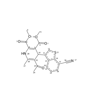 COC(=O)C1=C(C(=O)OC)C(c2csc3c(C#N)cccc23)C(C(C)=O)=C(C)N1